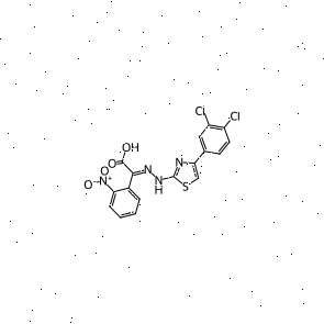 O=C(O)/C(=N/Nc1nc(-c2ccc(Cl)c(Cl)c2)cs1)c1ccccc1[N+](=O)[O-]